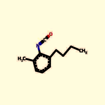 CCCCc1cccc(C)c1N=C=O